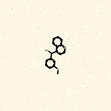 COc1cccc(C(O)c2ccnc3ccccc23)c1